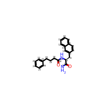 NC(=O)[C@H](Cc1ccc2ccccc2c1)NC(=O)[CH]CCc1ccccc1